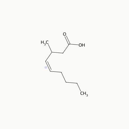 CCCC/C=C\C(C)CC(=O)O